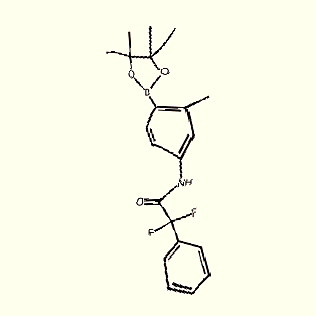 Cc1cc(NC(=O)C(F)(F)c2ccccc2)ccc1B1OC(C)(C)C(C)(C)O1